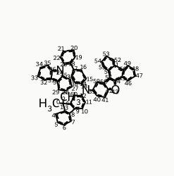 CC1(C)c2ccccc2-c2ccc(N(c3ccc(-c4ccccc4-n4c5ccccc5c5ccccc54)cc3)c3ccc4oc5c6ccccc6c6ccccc6c5c4c3)cc21